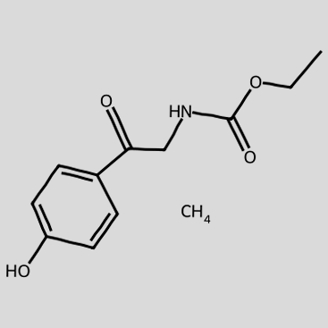 C.CCOC(=O)NCC(=O)c1ccc(O)cc1